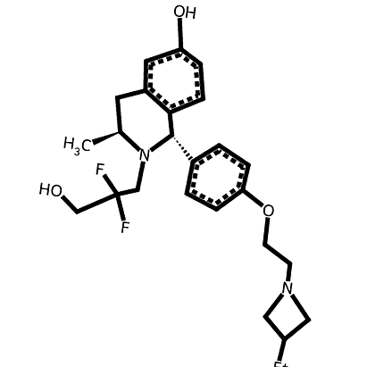 CCC1CN(CCOc2ccc([C@H]3c4ccc(O)cc4C[C@H](C)N3CC(F)(F)CO)cc2)C1